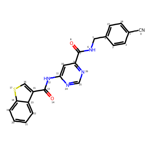 N#Cc1ccc(CNC(=O)c2cc(NC(=O)c3csc4ccccc34)ncn2)cc1